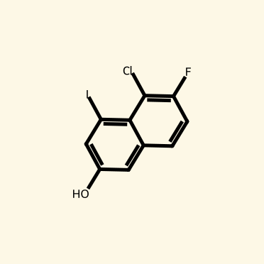 Oc1cc(I)c2c(Cl)c(F)ccc2c1